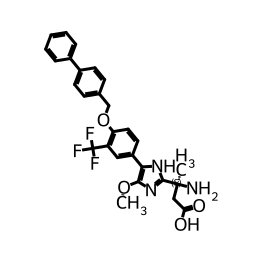 COc1nc([C@@](C)(N)CC(=O)O)[nH]c1-c1ccc(OCc2ccc(-c3ccccc3)cc2)c(C(F)(F)F)c1